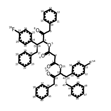 O=C(CC(=O)OC(C(=O)Cc1ccccc1)[C@@H](Cc1ccccc1)c1ccc(F)cc1)OC(C(=O)Cc1ccccc1)[C@@H](Cc1ccccc1)c1ccc(F)cc1